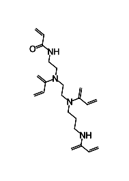 C=CC(=C)NCCCN(CCN(CCNC(=O)C=C)C(=C)C=C)C(=C)C=C